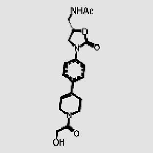 CC(=O)NC[C@H]1CN(c2ccc(C3=CCN(C(=O)CO)CC3)cc2)C(=O)O1